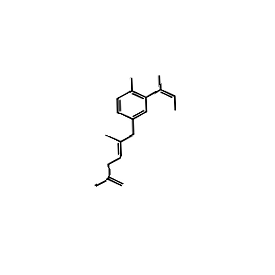 C=C(C)C/C=C(\C)Cc1ccc(C)c(/C(C)=C\C)c1